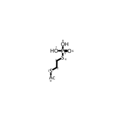 CC(=O)SCCSP(=O)(O)O